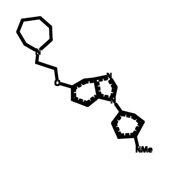 CNc1ccc(-n2cnc3cc(OCCN4CCCCCC4)ccc32)cc1